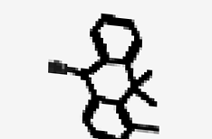 Cc1cccc2c1C(C)(C)c1ccccc1B2C(C)(C)C